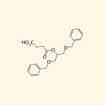 O=C(O)CCC(=O)OC(COCc1ccccc1)COCc1ccccc1